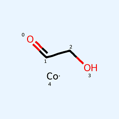 O=CCO.[Co]